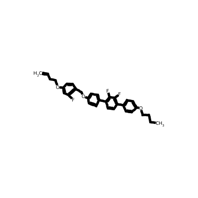 C=CCCOc1ccc(COc2ccc(-c3ccc(-c4ccc(OCCCC)cc4)c(F)c3F)cc2)c(F)c1